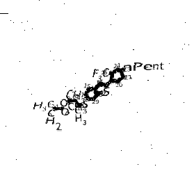 C=C(C)C(=O)OC(C)(C)CC(C)Sc1ccc2cc(-c3ccc(CCCCC)cc3C(F)(F)F)sc2c1